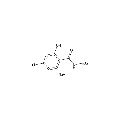 CCCCNC(=O)c1ccc(Cl)cc1O.[NaH]